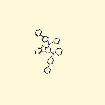 c1ccc(-c2ccc(N(c3ccccc3)c3cc(N(c4ccccc4)c4ccc(-c5ccccc5)cc4)c4sc5ccccc5c4c3)cc2)cc1